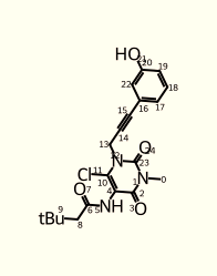 Cn1c(=O)c(NC(=O)CC(C)(C)C)c(Cl)n(CC#Cc2cccc(O)c2)c1=O